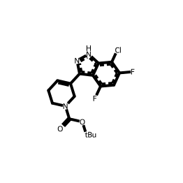 CC(C)(C)OC(=O)N1CCC=C(c2n[nH]c3c(Cl)c(F)cc(F)c23)C1